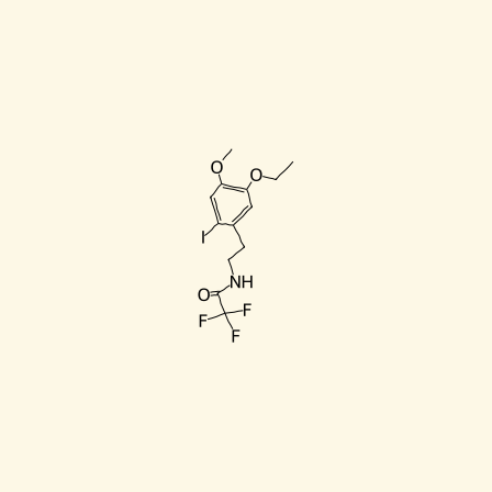 CCOc1cc(CCNC(=O)C(F)(F)F)c(I)cc1OC